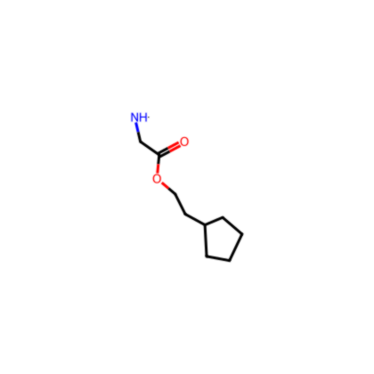 [NH]CC(=O)OCCC1CCCC1